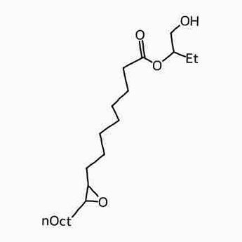 CCCCCCCCC1OC1CCCCCCCC(=O)OC(CC)CO